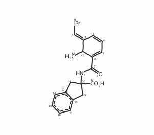 CC(C)C=C1C=CC=C(C(=O)NC2(C(=O)O)Cc3ccccc3C2)C1C